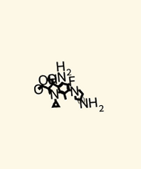 Cc1c(N2CC[C@H](N)C2)c(F)c(N)c2c(=O)c(C(=O)O)cn(C3CC3)c12